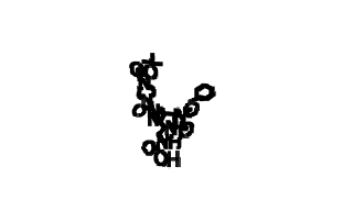 CC(C)(C)OC(=O)N1CCN(C(=O)n2cc3c(n2)C(CNC(=O)O)N2CC3N(OCc3ccccc3)C2=O)CC1